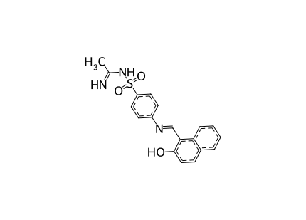 CC(=N)NS(=O)(=O)c1ccc(/N=C/c2c(O)ccc3ccccc23)cc1